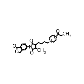 CCC(=O)N1CCN(CCCCC2=C(C)C(=O)N(c3ccc4c(c3)COC4=O)C2=O)CC1